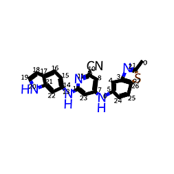 Cc1nc2cc(Nc3cc(C#N)nc(Nc4ccc5cc[nH]c5c4)c3)ccc2s1